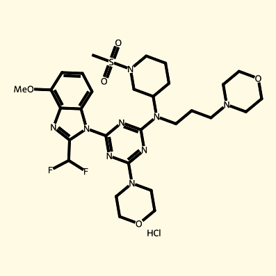 COc1cccc2c1nc(C(F)F)n2-c1nc(N2CCOCC2)nc(N(CCCN2CCOCC2)C2CCCN(S(C)(=O)=O)C2)n1.Cl